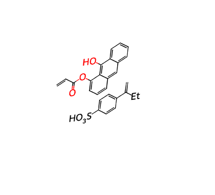 C=C(CC)c1ccc(S(=O)(=O)O)cc1.C=CC(=O)Oc1cccc2cc3ccccc3c(O)c12